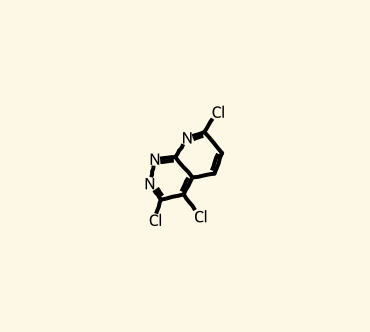 Clc1ccc2c(Cl)c(Cl)nnc2n1